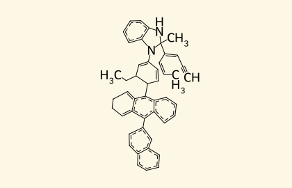 C#C/C=C(\C=C/C)C1(C)Nc2ccccc2N1C1=CC(CC)C(c2c3c(c(-c4ccc5ccccc5c4)c4ccccc24)=CCCC=3)C=C1